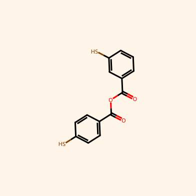 O=C(OC(=O)c1cccc(S)c1)c1ccc(S)cc1